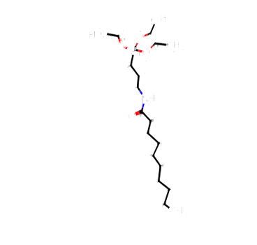 CCCCCC[CH]CCC(=O)NCCC[Si](OCC)(OCC)OCC